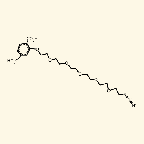 [N-]=[N+]=NCCOCCOCCOCCOCCOCCOc1cc(C(=O)O)ccc1C(=O)O